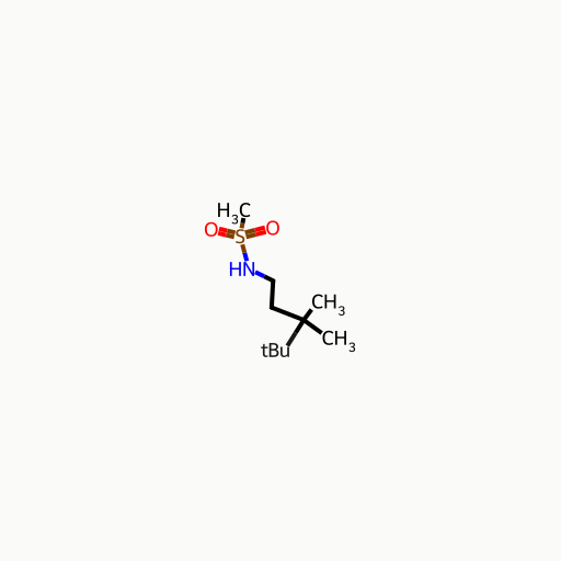 CC(C)(C)C(C)(C)CCNS(C)(=O)=O